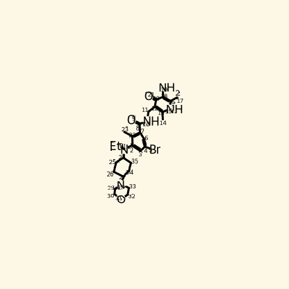 CCN(c1cc(Br)cc(C(=O)NCc2c(C)[nH]c(C)c(N)c2=O)c1C)C1CCC(N2CCOCC2)CC1